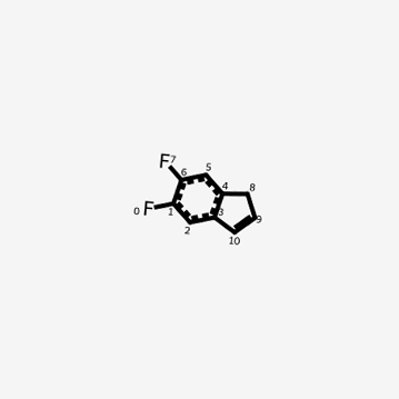 Fc1cc2c(cc1F)CC=C2